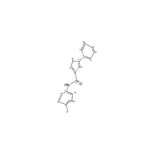 Cc1ccc(NC(=O)c2csc(-c3ccccc3)n2)cc1